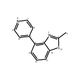 Cc1nc2c(-c3ccncc3)[c]ccc2s1